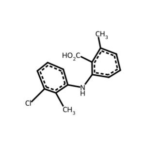 Cc1cccc(Nc2cccc(Cl)c2C)c1C(=O)O